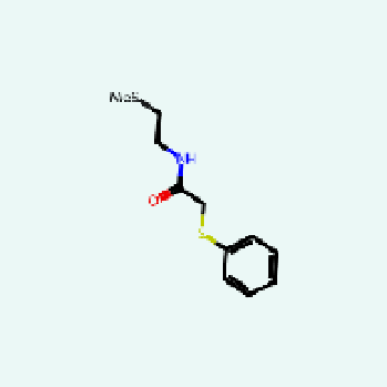 CSCCNC(=O)CSc1ccccc1